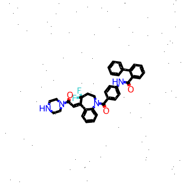 O=C(Nc1ccc(C(=O)N2CCC(F)(F)C(=CC(=O)N3CCNCC3)c3ccccc32)cc1)c1ccccc1-c1ccccc1